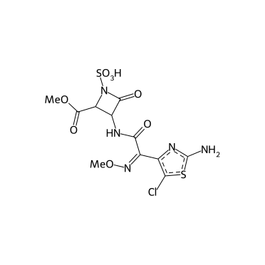 CON=C(C(=O)NC1C(=O)N(S(=O)(=O)O)C1C(=O)OC)c1nc(N)sc1Cl